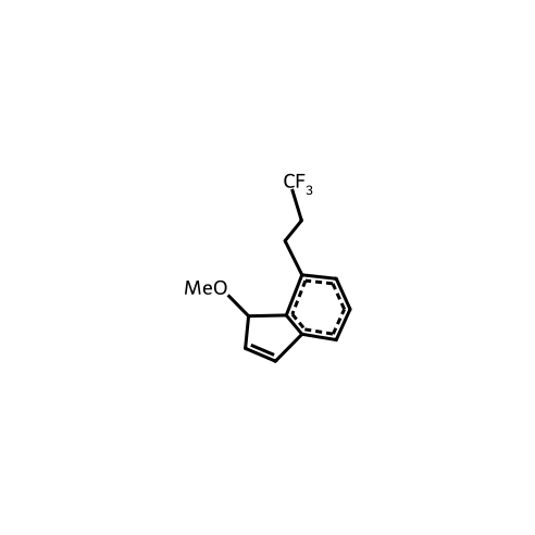 COC1C=Cc2cccc(CCC(F)(F)F)c21